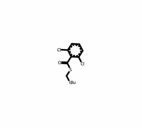 CC(C)(C)CSC(=O)c1c(Cl)cccc1Cl